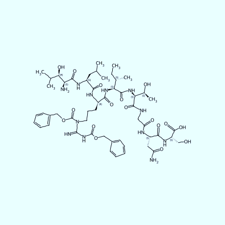 CC[C@H](C)[C@H](NC(=O)[C@@H](CCCN(C(=N)NC(=O)OCc1ccccc1)C(=O)OCc1ccccc1)NC(=O)[C@H](CC(C)C)NC(=O)[C@@H](N)[C@H](O)C(C)C)C(=O)N[C@H](C(=O)NCC(=O)N[C@@H](CC(N)=O)C(=O)N[C@@H](CO)C(=O)O)[C@H](C)O